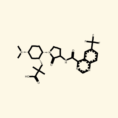 CN(C)[C@@H]1CC[C@H](N2CCC(NC(=O)c3ncnc4ccc(C(F)(F)F)cc34)C2=O)[C@H](CC(C)(C)C(=O)O)C1